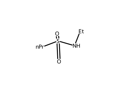 CCCS(=O)(=O)NCC